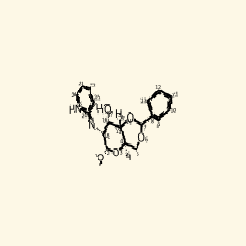 CO[C@H]1O[C@@H]2COC(c3ccccc3)O[C@H]2[C@@H](O)[C@H]1N=c1cccc[nH]1